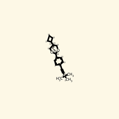 C[Si](C)(C)C#Cc1ccc(C23OCC(C4CCC4)(CO2)CO3)cc1